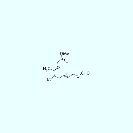 CCC(C/C=C/COC=O)C(C)OCC(=O)OC